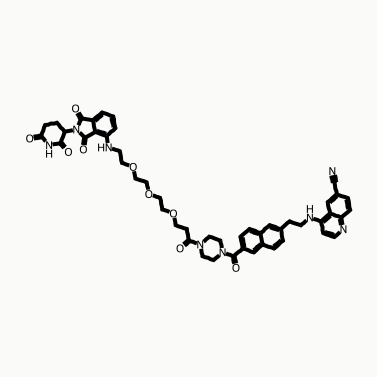 N#Cc1ccc2nccc(NCCc3ccc4cc(C(=O)N5CCN(C(=O)CCOCCOCCOCCNc6cccc7c6C(=O)N(C6CCC(=O)NC6=O)C7=O)CC5)ccc4c3)c2c1